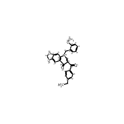 CCc1ccc(C(=O)c2cn(Cc3ccccc3OC)c3cc4c(cc3c2=O)OCO4)cc1